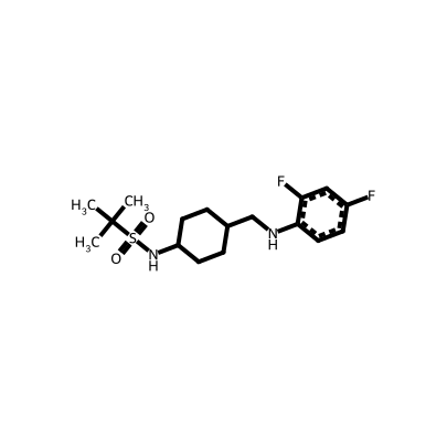 CC(C)(C)S(=O)(=O)NC1CCC(CNc2ccc(F)cc2F)CC1